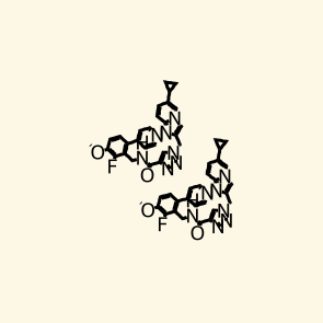 COc1ccc(-c2ccncc2)c(CNC(=O)c2cn(Cc3cn4cc(C5CC5)ccc4n3)nn2)c1F.COc1ccc(-c2ccncc2)c(CNC(=O)c2cn(Cc3cn4cc(C5CC5)ccc4n3)nn2)c1F